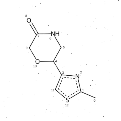 Cc1nc(C2CNC(=O)CO2)cs1